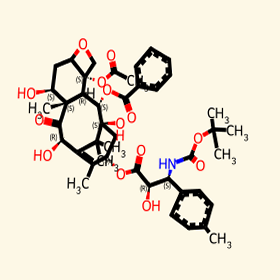 CC(=O)O[C@@]12COC1C[C@H](O)[C@@]1(C)C(=O)[C@H](O)C3=C(C)[C@@H](OC(=O)[C@H](O)[C@@H](NC(=O)OC(C)(C)C)c4ccc(C)cc4)C[C@@](O)([C@@H](OC(=O)c4ccccc4)[C@@H]12)C3(C)C